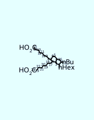 CCCCCCC1C=C2C(C=CC(CCCCCCCC(=O)O)C2CCCCCCCC(=O)O)CC1CCCC